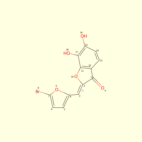 O=C1/C(=C/c2ccc(Br)o2)Oc2c1ccc(O)c2O